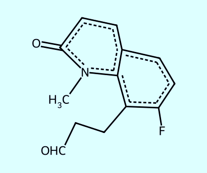 Cn1c(=O)ccc2ccc(F)c(CCC=O)c21